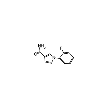 NC(=O)c1ccn(-c2ccccc2F)c1